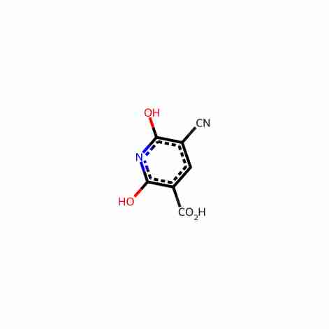 N#Cc1cc(C(=O)O)c(O)nc1O